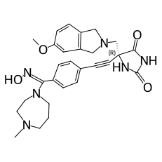 COc1ccc2c(c1)CN(C[C@@]1(C#Cc3ccc(C(=NO)N4CCCN(C)CC4)cc3)NC(=O)NC1=O)C2